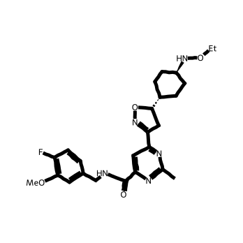 CCON[C@H]1CC[C@H](C2CC(c3cc(C(=O)NCc4ccc(F)c(OC)c4)nc(C)n3)=NO2)CC1